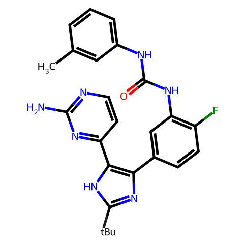 Cc1cccc(NC(=O)Nc2cc(-c3nc(C(C)(C)C)[nH]c3-c3ccnc(N)n3)ccc2F)c1